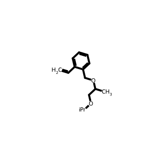 C=Cc1ccccc1COC(C)COC(C)C